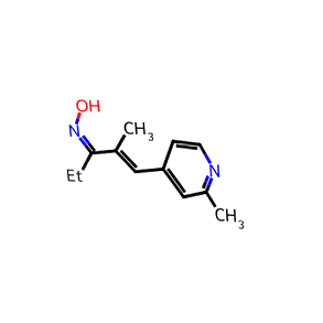 CCC(=N/O)/C(C)=C/c1ccnc(C)c1